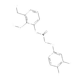 NCc1c(CO)cccc1NC(=O)CNc1ccc(F)c(F)c1